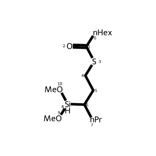 CCCCCCC(=O)SCCC(CCC)[SiH](OC)OC